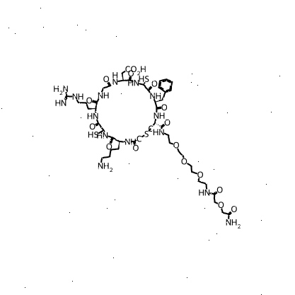 N=C(N)NCCC[C@@H]1NC(=O)C(S)NC(=O)[C@H](CCCCN)NC(=O)CSC[C@@H](C(=O)NCCOCCOCCOCCNC(=O)COCC(N)=O)NC(=O)[C@H](Cc2ccccc2)NC(=O)[C@H](S)NC(=O)[C@H](CC(=O)O)NC(=O)CNC1=O